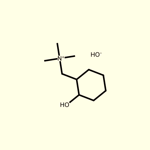 C[N+](C)(C)CC1CCCCC1O.[OH-]